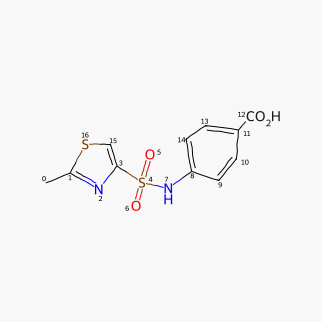 Cc1nc(S(=O)(=O)Nc2ccc(C(=O)O)cc2)cs1